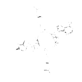 CO[C@@H]1[C@@H]2OP(=O)(SCOC(=O)OC(C)C)OC[C@H]3O[C@@H](n4cnc5c(N)ncnc54)[C@H](OP(=O)(OCOC(=O)OC(C)C)OC[C@H]2O[C@H]1n1ccc(=O)[nH]c1=O)[C@@H]3F